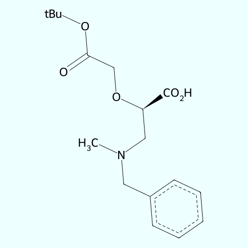 CN(Cc1ccccc1)C[C@@H](OCC(=O)OC(C)(C)C)C(=O)O